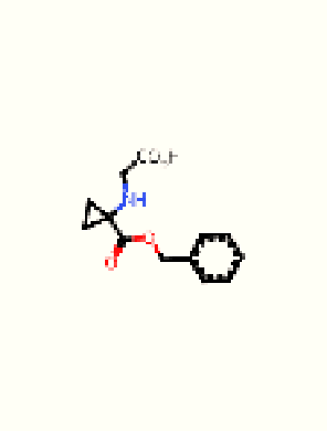 O=C(O)CNC1(C(=O)OCc2ccccc2)CC1